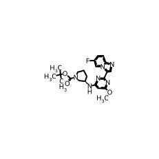 COc1cc(N[C@@H]2CCCN(C(=O)OC(C)(C)C)C2)nc(-c2cnc3ccc(F)cn23)n1